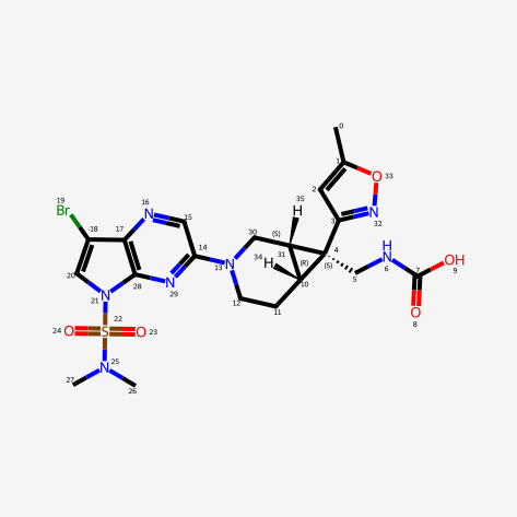 Cc1cc([C@@]2(CNC(=O)O)[C@@H]3CCN(c4cnc5c(Br)cn(S(=O)(=O)N(C)C)c5n4)C[C@@H]32)no1